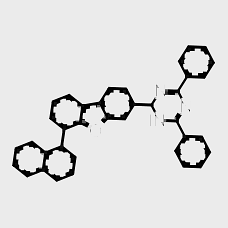 c1ccc(C2=NC(c3ccc4c(c3)oc3c(-c5cccc6ccccc56)cccc34)NC(c3ccccc3)=N2)cc1